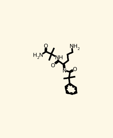 CC(C)(NC(=O)/C(CCCN)=N/C(=O)C(C)(C)c1ccccc1)C(N)=O